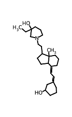 CCC1(O)CCCN(CCC2CCC3/C(=C/C=C4/CCCC(O)C4)CCCC23C)C1